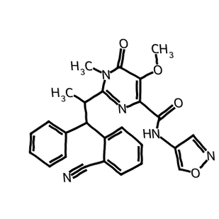 COc1c(C(=O)Nc2cnoc2)nc(C(C)C(c2ccccc2)c2ccccc2C#N)n(C)c1=O